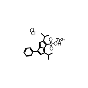 CC(C)C1=C2C(=CC(C(C)C)=C2S(=O)(=O)O)C(c2ccccc2)=C1.[Cl-].[Cl-].[Zr+2]